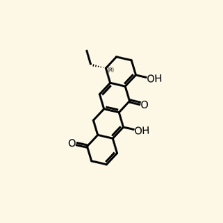 CC[C@@H]1CCC(O)=C2C(=O)C3=C(C=C21)CC1C(=O)CC=CC1=C3O